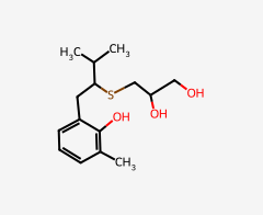 Cc1cccc(CC(SCC(O)CO)C(C)C)c1O